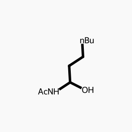 CCCCCCC(O)NC(C)=O